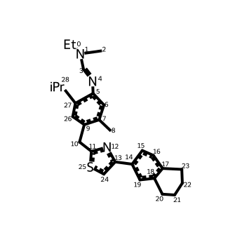 CCN(C)/C=N/c1cc(C)c(Cc2nc(-c3ccc4c(c3)CCCC4)cs2)cc1C(C)C